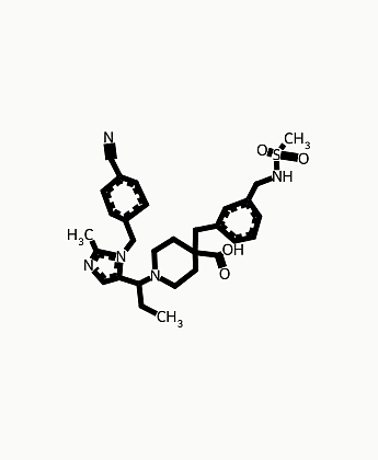 CCC(c1cnc(C)n1Cc1ccc(C#N)cc1)N1CCC(Cc2cccc(CNS(C)(=O)=O)c2)(C(=O)O)CC1